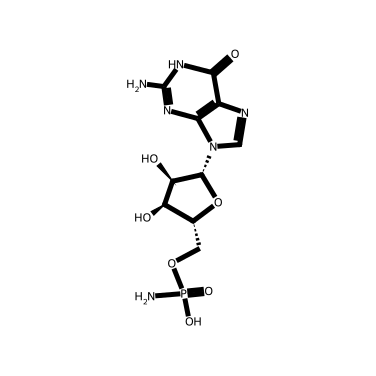 Nc1nc2c(ncn2[C@@H]2O[C@H](COP(N)(=O)O)[C@@H](O)[C@H]2O)c(=O)[nH]1